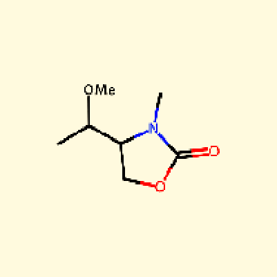 COC(C)C1COC(=O)N1C